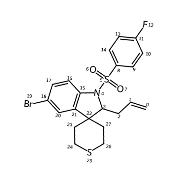 C=CCC1N(S(=O)(=O)c2ccc(F)cc2)c2ccc(Br)cc2C12CCSCC2